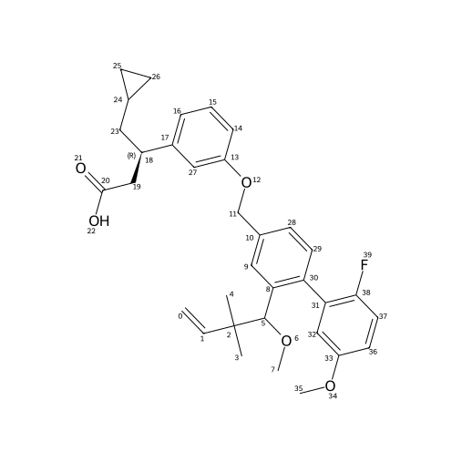 C=CC(C)(C)C(OC)c1cc(COc2cccc([C@@H](CC(=O)O)CC3CC3)c2)ccc1-c1cc(OC)ccc1F